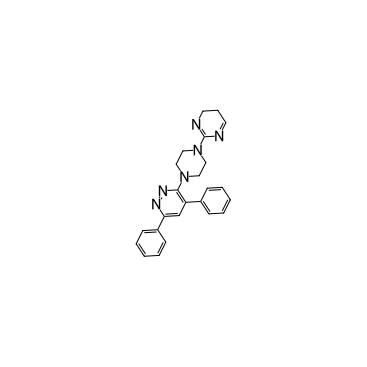 C1=NC(N2CCN(c3nnc(-c4ccccc4)cc3-c3ccccc3)CC2)=NCC1